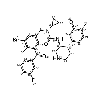 Cc1c(Br)cc(CN(C(=O)N[C@@H]2CNCC[C@H]2c2ccn(C)c(=O)c2)C2CC2)cc1C(=O)c1cccc(F)c1